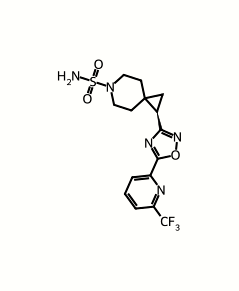 NS(=O)(=O)N1CCC2(CC1)C[C@H]2c1noc(-c2cccc(C(F)(F)F)n2)n1